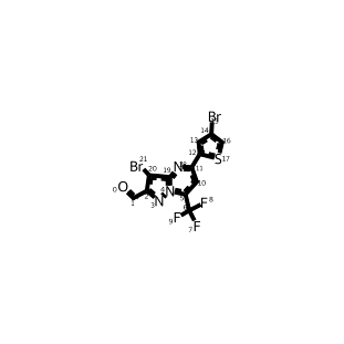 O=[C]c1nn2c(C(F)(F)F)cc(-c3cc(Br)cs3)nc2c1Br